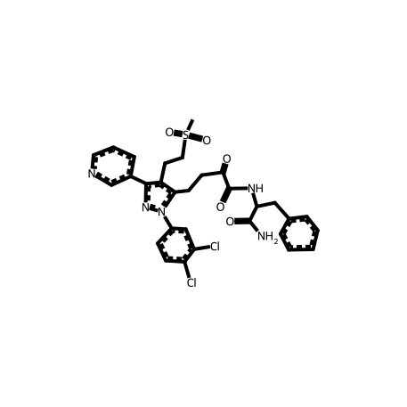 CS(=O)(=O)CCc1c(-c2cccnc2)nn(-c2ccc(Cl)c(Cl)c2)c1CCC(=O)C(=O)NC(Cc1ccccc1)C(N)=O